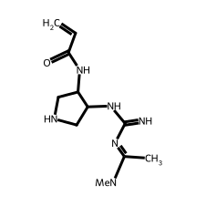 C=CC(=O)NC1CNCC1NC(=N)/N=C(\C)NC